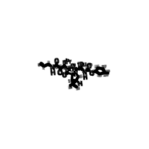 C=CCNC(=O)C(=O)C(CCC)NC(=O)[C@@H]1C2[C@H](CN1C(=O)[C@@H](NC(=O)OC1CCC(C)C1)C(C)(C)C)C2(C)C